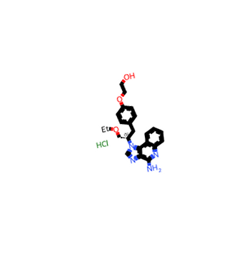 CCOC[C@H](Cc1ccc(OCCO)cc1)n1cnc2c(N)nc3ccccc3c21.Cl